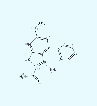 CNc1nc(-c2ccccc2)c2c(N)c(C(N)=O)sc2n1